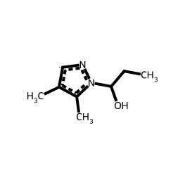 CCC(O)n1n[c]c(C)c1C